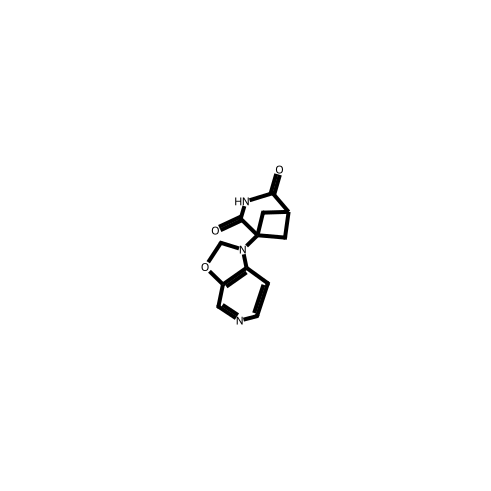 O=C1NC(=O)C2(N3COc4cnccc43)CC1C2